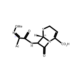 CO/N=C(/C(C)=O)C(=O)NC1C(=O)N2C(C(=O)O)=CCS[C@@H]12